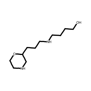 OCCCCNCCCC1CNCCO1